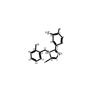 Cc1ccc(-c2ncc(C)n2Cc2ccccc2C)cc1F